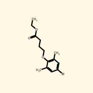 CCOC(=O)CCCOc1c(C)cc(Br)cc1C